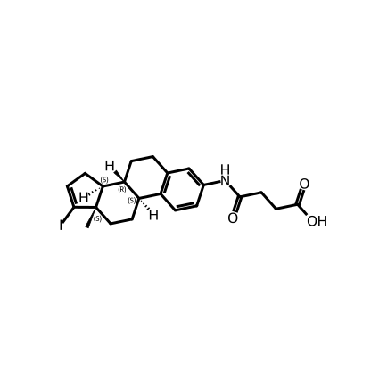 C[C@]12CC[C@@H]3c4ccc(NC(=O)CCC(=O)O)cc4CC[C@H]3[C@@H]1CC=C2I